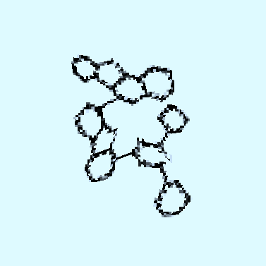 c1ccc(-c2nc(-c3ccccc3)nc(-c3cccc4c3sc3c(-c5cc6ccccc6c6oc7ccccc7c56)cccc34)n2)cc1